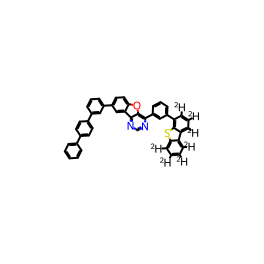 [2H]c1c([2H])c([2H])c2c(sc3c(-c4cccc(-c5ncnc6c5oc5ccc(-c7cccc(-c8ccc(-c9ccccc9)cc8)c7)cc56)c4)c([2H])c([2H])c([2H])c32)c1[2H]